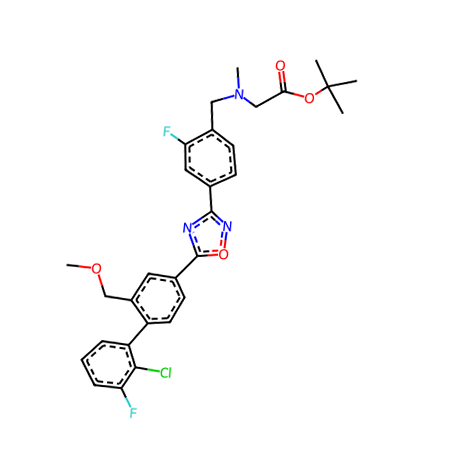 COCc1cc(-c2nc(-c3ccc(CN(C)CC(=O)OC(C)(C)C)c(F)c3)no2)ccc1-c1cccc(F)c1Cl